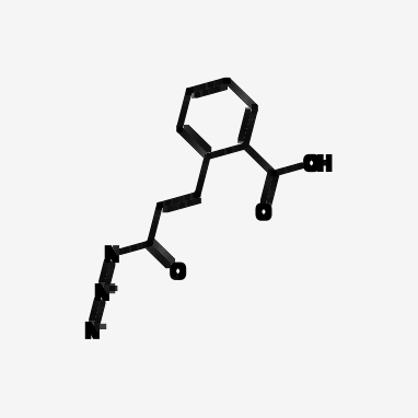 [N-]=[N+]=NC(=O)C=Cc1ccccc1C(=O)O